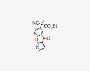 CCOC(=O)C(C)(C#N)c1ccc2oc3ncccc3c(=O)c2c1